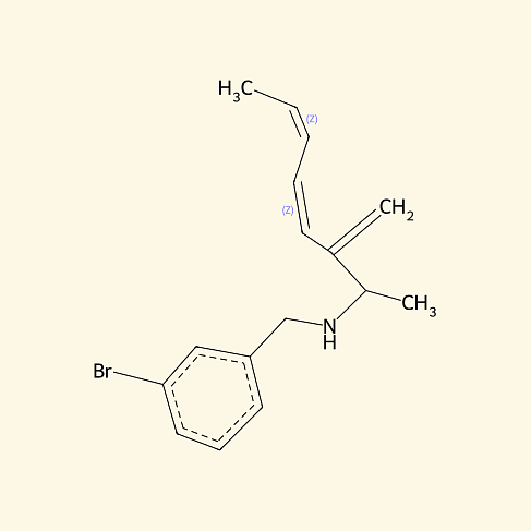 C=C(/C=C\C=C/C)C(C)NCc1cccc(Br)c1